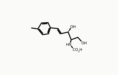 Cc1ccc(C=C[C@@H](O)C(CO)NC(=O)O)cc1